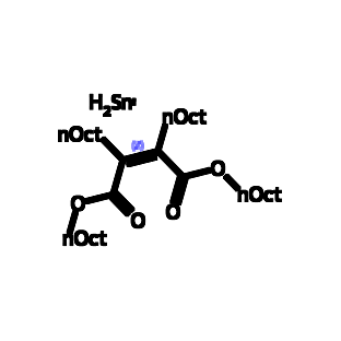 CCCCCCCCOC(=O)/C(CCCCCCCC)=C(/CCCCCCCC)C(=O)OCCCCCCCC.[SnH2]